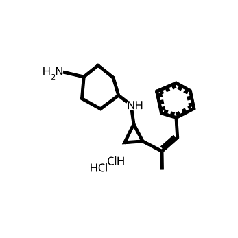 CC(=Cc1ccccc1)C1CC1NC1CCC(N)CC1.Cl.Cl